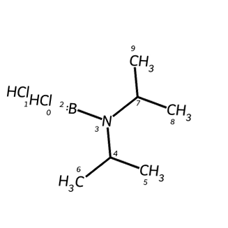 Cl.Cl.[B]N(C(C)C)C(C)C